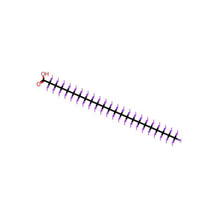 O=C(O)C(I)(I)C(I)(I)C(I)(I)C(I)(I)C(I)(I)C(I)(I)C(I)(I)C(I)(I)C(I)(I)C(I)(I)C(I)(I)C(I)(I)C(I)(I)C(I)(I)C(I)(I)C(I)(I)C(I)(I)C(I)(I)C(I)(I)C(I)(I)C(I)(I)C(I)(I)I